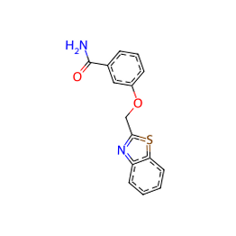 NC(=O)c1cccc(OCc2nc3ccccc3s2)c1